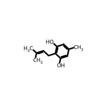 CC(C)=CCc1c(O)[c]c(C)cc1O